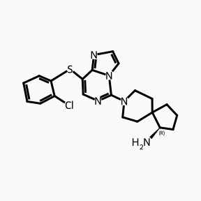 N[C@@H]1CCCC12CCN(c1ncc(Sc3ccccc3Cl)c3nccn13)CC2